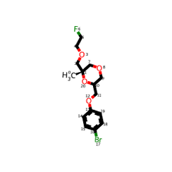 C[C@@]1(COCCF)COCC(COc2ccc(Br)cc2)O1